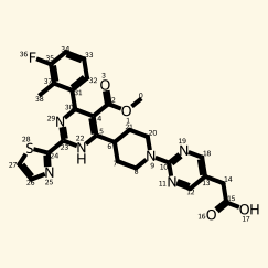 COC(=O)C1=C(C2CCN(c3ncc(CC(=O)O)cn3)CC2)NC(c2nccs2)=NC1c1cccc(F)c1C